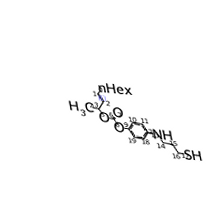 CCCCCC/C=C/C(C)OC(=O)Oc1ccc(NCCCS)cc1